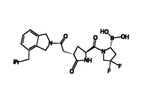 CC(C)Cc1cccc2c1CN(C(=O)C[C@@H]1C[C@@H](C(=O)N3CC(F)(F)C[C@H]3B(O)O)NC1=O)C2